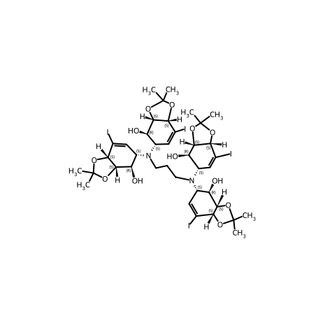 CC1(C)O[C@H]2[C@H](O)[C@@H](N(CCCN([C@H]3C=C(I)[C@H]4OC(C)(C)O[C@H]4[C@@H]3O)[C@H]3C=C(I)[C@H]4OC(C)(C)O[C@H]4[C@@H]3O)[C@H]3C=C(I)[C@H]4OC(C)(C)O[C@H]4[C@@H]3O)C=C(I)[C@H]2O1